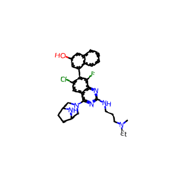 CCN(C)CCCNc1nc(N2CC3CCC(C2)N3)c2cc(Cl)c(-c3cc(O)cc4ccccc34)c(F)c2n1